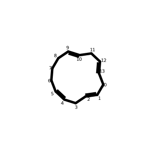 [CH]1/C=C/C/C=C\CCC/C=C/C/C=C/1